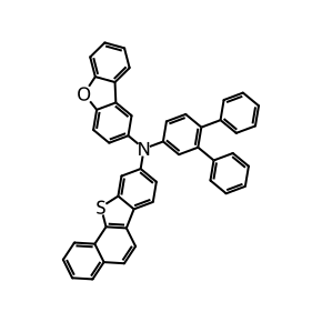 c1ccc(-c2ccc(N(c3ccc4c(c3)sc3c5ccccc5ccc43)c3ccc4oc5ccccc5c4c3)cc2-c2ccccc2)cc1